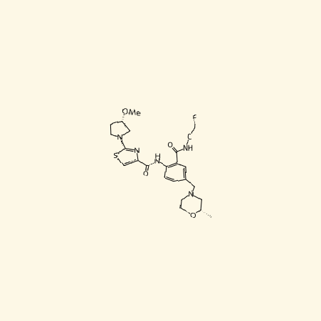 CO[C@H]1CCN(c2nc(C(=O)Nc3ccc(CN4CCO[C@@H](C)C4)cc3C(=O)NCCF)cs2)C1